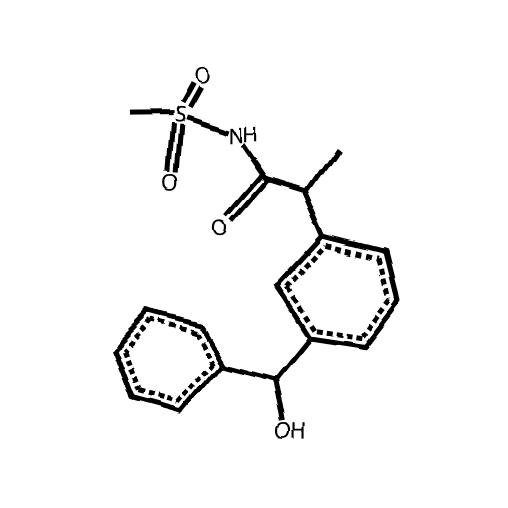 CC(C(=O)NS(C)(=O)=O)c1cccc(C(O)c2ccccc2)c1